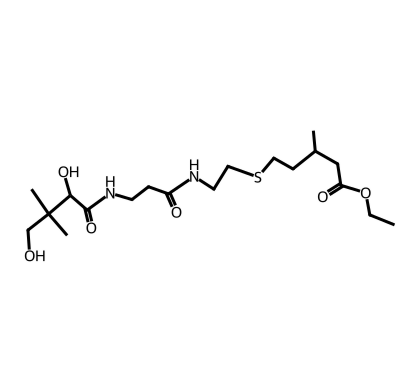 CCOC(=O)CC(C)CCSCCNC(=O)CCNC(=O)C(O)C(C)(C)CO